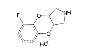 Cl.Fc1cccc2c1OC1CNCC1O2